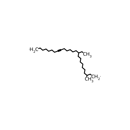 [CH2]CCCCCCC#CCCCCCC(CC)CCCCCCCC(C)C[CH2]